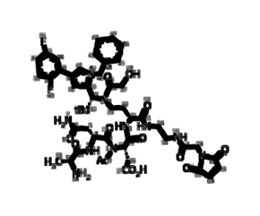 CC(=O)N(C(=O)[C@@H](CC(N)=O)NC(=O)[C@H](C)N)[C@@H](CC(=O)O)C(=O)N[C@@H](CCN(C(=O)CO)[C@@H](c1cc(-c2cc(F)ccc2F)cn1Cc1ccccc1)C(C)(C)C)C(=O)NCCNC(=O)CN1C(=O)C=CC1=O